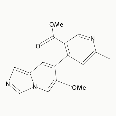 COC(=O)c1cnc(C)cc1-c1cc2cncn2cc1OC